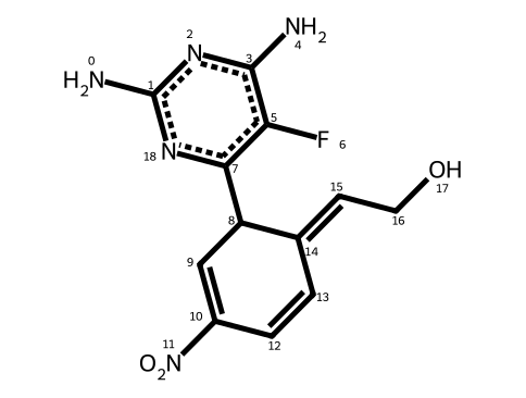 Nc1nc(N)c(F)c(C2C=C([N+](=O)[O-])C=CC2=CCO)n1